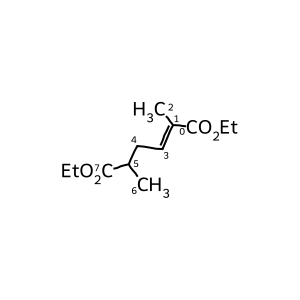 CCOC(=O)C(C)=CCC(C)C(=O)OCC